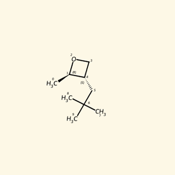 C[C@H]1OC[C@@H]1CC(C)(C)C